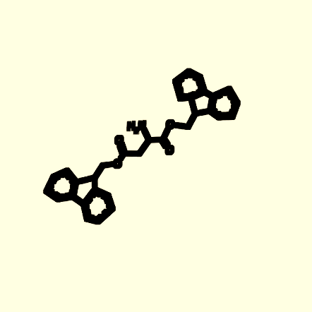 NC(CC(=O)OCC1c2ccccc2-c2ccccc21)C(=O)OCC1c2ccccc2-c2ccccc21